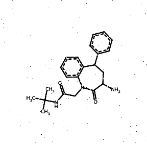 CC(C)(C)NC(=O)CN1C(=O)C(N)CC(c2ccccc2)c2ccccc21